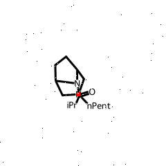 CCCCCN1CC2CCC(C1)N2C(=O)C(C)C